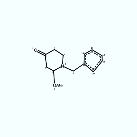 COC1CC(=O)CCN1Cc1ccccc1